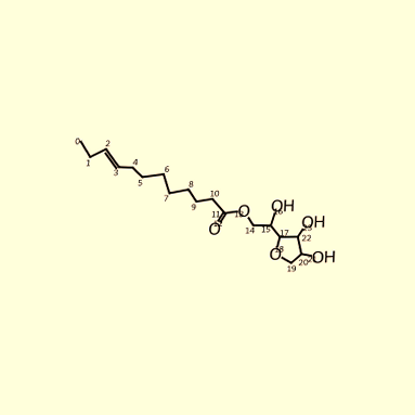 CC/C=C/CCCCCCCC(=O)OCC(O)C1OCC(O)C1O